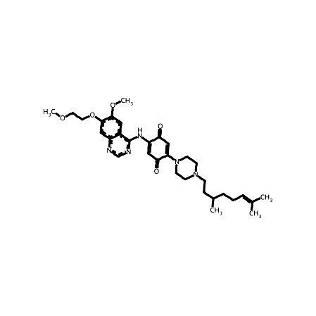 COCCOc1cc2ncnc(NC3=CC(=O)C(N4CCN(CCC(C)CCC=C(C)C)CC4)=CC3=O)c2cc1OC